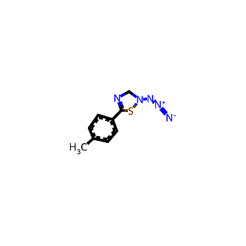 Cc1ccc(C2=NCN(N=[N+]=[N-])S2)cc1